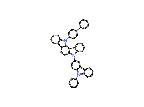 c1ccc(-c2ccc(-n3c4ccccc4c4ccc5c(c6ccccc6n5-c5ccc6c(c5)c5ccccc5n6-c5ccccc5)c43)cc2)cc1